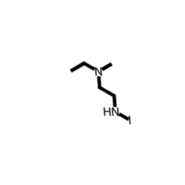 CCN(C)CCNI